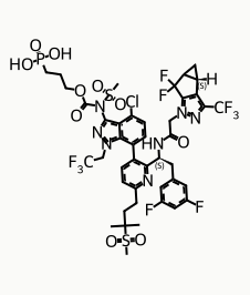 CC(C)(CCc1ccc(-c2ccc(Cl)c3c(N(C(=O)OCCCP(=O)(O)O)S(C)(=O)=O)nn(CC(F)(F)F)c23)c([C@H](Cc2cc(F)cc(F)c2)NC(=O)Cn2nc(C(F)(F)F)c3c2C(F)(F)C2C[C@H]32)n1)S(C)(=O)=O